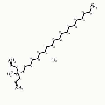 C=CC[N+](C)(CC=C)CCCCCCCCCCCCCCCCCCCC.[Cl-]